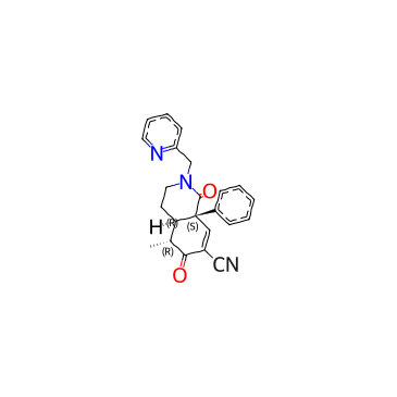 C[C@H]1C(=O)C(C#N)=C[C@@]2(c3ccccc3)C(=O)N(Cc3ccccn3)CC[C@H]12